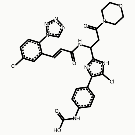 O=C(O)Nc1ccc(-c2nc(C(CC(=O)N3CCOCC3)NC(=O)C=Cc3cc(Cl)ccc3-n3cnnn3)[nH]c2Cl)cc1